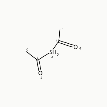 CC(=O)[SH2]C(C)=O